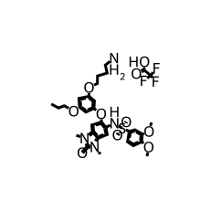 CCCOc1cc(OCCCCN)cc(Oc2cc3c(cc2NS(=O)(=O)c2ccc(OC)c(OC)c2)n(C)c(=O)n3C)c1.O=C(O)C(F)(F)F